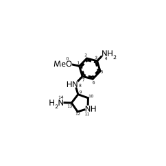 COc1cc(N)ccc1NC1CNCC1N